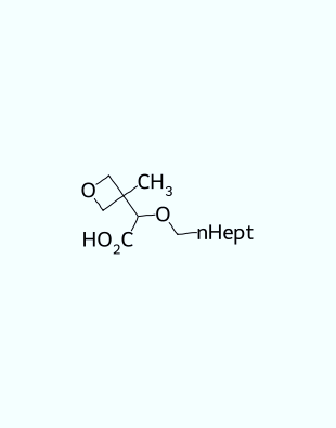 CCCCCCCCOC(C(=O)O)C1(C)COC1